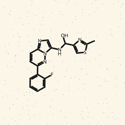 Cc1nc(C(O)Nc2cnc3ccc(-c4ccccc4F)nn23)cs1